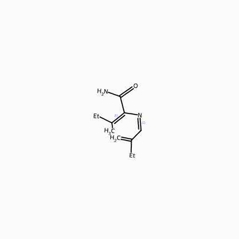 C=C(/C=N\C(C(N)=O)=C(/C)CC)CC